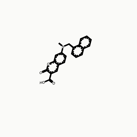 CN(Cc1cccc2ccccc12)c1ccc2cc(C(=O)O)c(=O)oc2c1